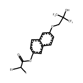 CCC(I)C(=O)Oc1ccc2cc(OCC(O)(C(F)(F)F)C(F)(F)F)ccc2c1